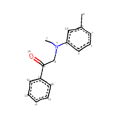 Cc1cccc(N(C)CC(=O)c2ccccc2)c1